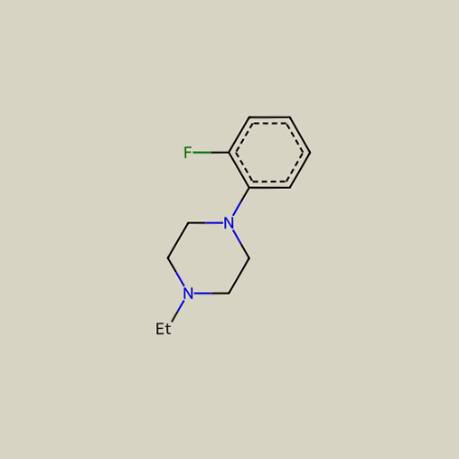 CCN1CCN(c2ccccc2F)CC1